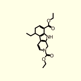 CCOC(=O)C1=CCC(CC)c2c1[nH]c1c2C=CN(C(=O)OCC)C1